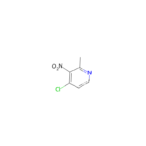 Cc1nccc(Cl)c1[N+](=O)[O-]